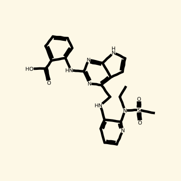 CCN(c1ncccc1NCc1nc(Nc2ccccc2C(=O)O)nc2[nH]ccc12)S(C)(=O)=O